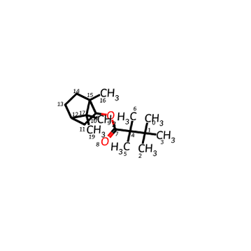 CC(C)(C)C(C)(C)C(=O)OC1CC2CCC1(C)C2(C)C